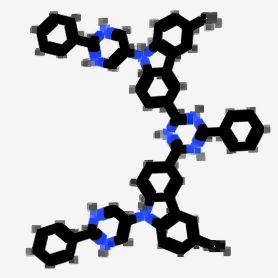 Cc1ccc2c(c1)c1cc(-c3nc(-c4ccccc4)nc(-c4ccc5c(c4)c4cc(C)ccc4n5-c4cnc(-c5ccccc5)nc4)n3)ccc1n2-c1cnc(-c2ccccc2)nc1